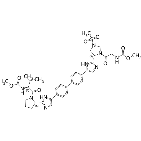 COC(=O)NCC(=O)N1CN(S(C)(=O)=O)C[C@H]1c1ncc(-c2ccc(-c3ccc(-c4cnc([C@@H]5CCCN5C(=O)[C@@H](NC(=O)OC)C(C)C)[nH]4)cc3)cc2)[nH]1